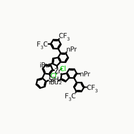 CCCc1ccc2c(c1-c1cc(C(F)(F)F)cc(C(F)(F)F)c1)C=C(C(C)CC)[CH]2[Zr]([Cl])([Cl])([c]1cccc2c1[SiH2]c1ccccc1-2)[CH]1C(C(C)CC)=Cc2c1ccc(CCC)c2-c1cc(C(F)(F)F)cc(C(F)(F)F)c1